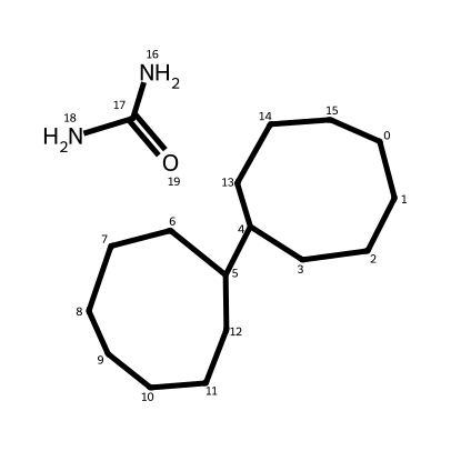 C1CCCC(C2CCCCCCC2)CCC1.NC(N)=O